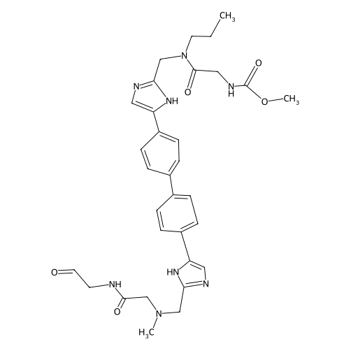 CCCN(Cc1ncc(-c2ccc(-c3ccc(-c4cnc(CN(C)CC(=O)NCC=O)[nH]4)cc3)cc2)[nH]1)C(=O)CNC(=O)OC